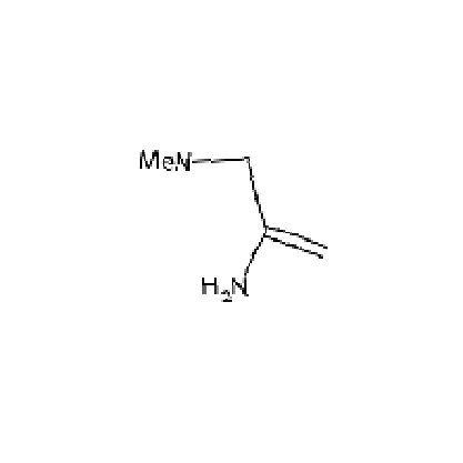 C=C(N)CNC